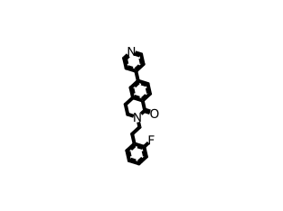 O=C1c2ccc(-c3ccncc3)cc2CCN1CCc1ccccc1F